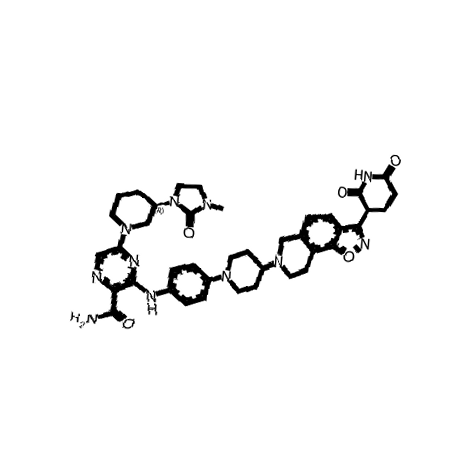 CN1CCN([C@@H]2CCCN(c3cnc(C(N)=O)c(Nc4ccc(N5CCC(N6CCc7c(ccc8c(C9CCC(=O)NC9=O)noc78)C6)CC5)cc4)n3)C2)C1=O